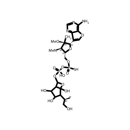 CN[C@@H]1[C@@H](COP(=O)(S)OP(=O)(O)OC2OC3(O)C2C(O)C(O)C3[C@@H](F)CO)O[C@@H](c2coc3c(N)ncnc23)[C@]1(C)OC